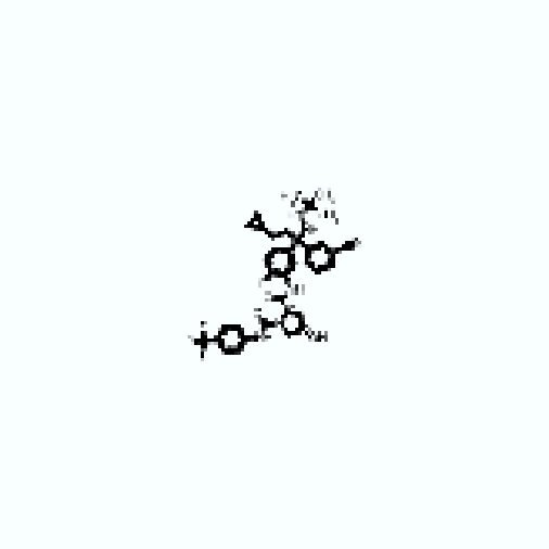 CC(C)(C)[S@@+]([O-])NC(CCC1CC1)(c1cccc(C#N)c1)c1ccc(F)c(NC(=O)[C@H]2C[C@@H](O)CN2C(=O)Nc2ccc(C(F)(F)F)cc2)c1